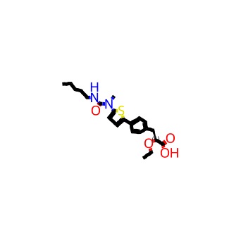 CCCCCNC(=O)N(C)c1ccc(-c2ccc(C[C@H](OCC)C(=O)O)cc2)s1